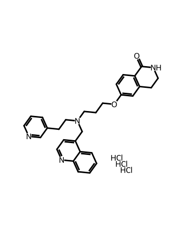 Cl.Cl.Cl.O=C1NCCc2cc(OCCCN(CCc3cccnc3)Cc3ccnc4ccccc34)ccc21